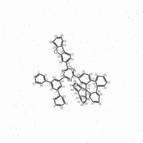 c1ccc(-c2cc(-c3ccccc3)cc(-c3nc(-c4ccc5c(c4)C4(c6ccccc6-c6ccccc6-5)c5ccccc5-c5ccccc54)nc(-c4ccc5c(c4)oc4ccccc45)n3)c2)cc1